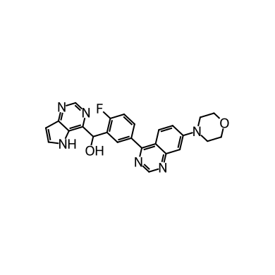 OC(c1cc(-c2ncnc3cc(N4CCOCC4)ccc23)ccc1F)c1ncnc2cc[nH]c12